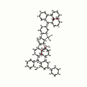 CC1(C)c2cc(N(c3ccccc3)c3ccccc3-c3ccccc3)ccc2-c2oc3c(c21)C(C)(C)c1cc(N(c2ccccc2)c2c(F)cc(-c4ccccc4)cc2-c2ccccc2)ccc1-3